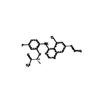 C[C@@H](Oc1cc(F)ccc1Nc1ncnc2cc(N=S=O)cc(Cl)c12)C(N)=O